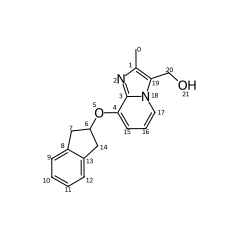 Cc1nc2c(OC3Cc4ccccc4C3)cccn2c1CO